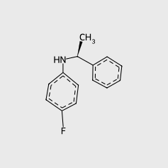 C[C@H](Nc1ccc(F)cc1)c1ccccc1